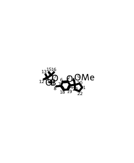 COC(=O)C1(c2ccc(CB3OC(C)(C)C(C)(C)O3)cc2)CCCC1